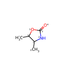 CC1NC(=O)OC1C